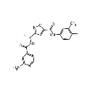 Cc1ccc(NC(=O)c2cc([C@@H](C)NC(=O)c3cc(N)ncn3)no2)cc1C(F)(F)F